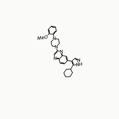 COc1ccccc1N1CCN(c2cnc3ccc(-c4cn[nH]c4C4CCCCC4)cc3n2)CC1